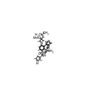 COC1(CN(C)C)CN(c2ccc(S(=O)(=O)N[C@@H]3CCNC3)c(S(N)(=O)=O)c2-c2nnn[nH]2)C1